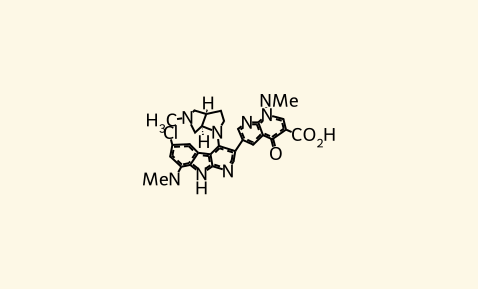 CNc1cc(Cl)cc2c1[nH]c1ncc(-c3cnc4c(c3)c(=O)c(C(=O)O)cn4NC)c(N3CC[C@@H]4CN(C)C[C@@H]43)c12